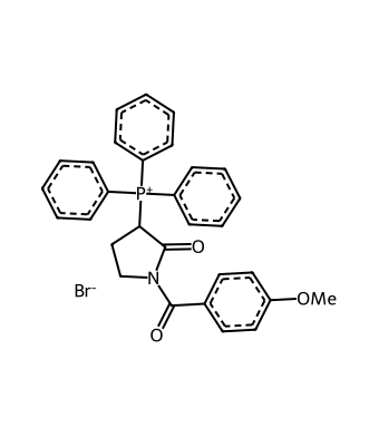 COc1ccc(C(=O)N2CCC([P+](c3ccccc3)(c3ccccc3)c3ccccc3)C2=O)cc1.[Br-]